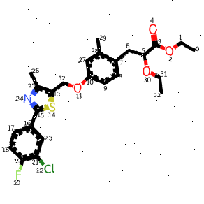 CCOC(=O)C(Cc1ccc(OCc2sc(-c3ccc(F)c(Cl)c3)nc2C)cc1C)OCC